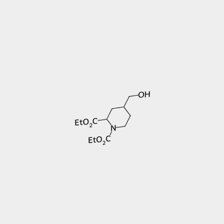 CCOC(=O)C1CC(CO)CCN1C(=O)OCC